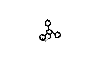 PCc1c(-c2ccccc2)cc(-c2ccccc2)cc1-c1ccccc1